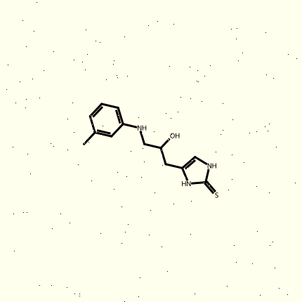 Cc1cccc(NCC(O)Cc2c[nH]c(=S)[nH]2)c1